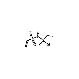 C=CS(=O)(=O)NS(C)(S)CC